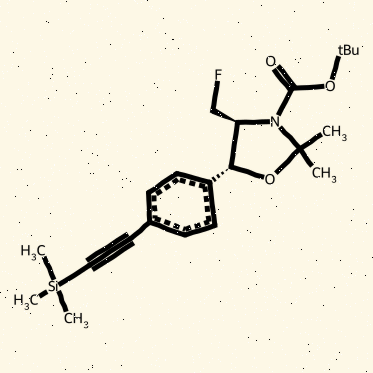 CC(C)(C)OC(=O)N1[C@H](CF)[C@@H](c2ccc(C#C[Si](C)(C)C)cc2)OC1(C)C